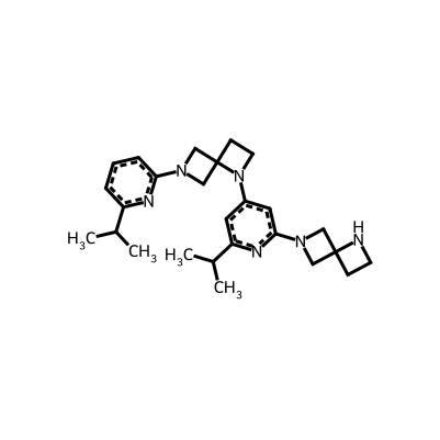 CC(C)c1cc(N2CCC23CN(c2cccc(C(C)C)n2)C3)cc(N2CC3(CCN3)C2)n1